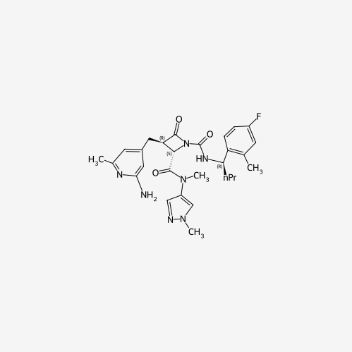 CCC[C@@H](NC(=O)N1C(=O)[C@H](Cc2cc(C)nc(N)c2)[C@H]1C(=O)N(C)c1cnn(C)c1)c1ccc(F)cc1C